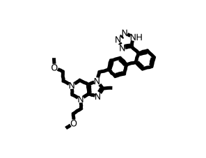 COCCN1Cc2c(nc(C)n2Cc2ccc(-c3ccccc3-c3nnn[nH]3)cc2)N(CCOC)C1